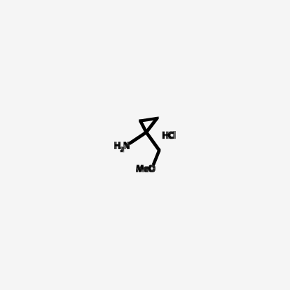 COCC1(N)CC1.Cl